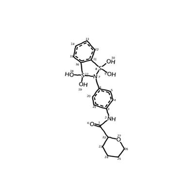 O=C(Nc1ccc(N2S(O)(O)c3ccccc3S2(O)O)cc1)C1CCCCO1